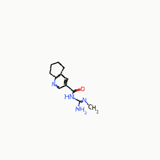 CN=C(N)NC(=O)c1cnc2c(c1)CCCC2